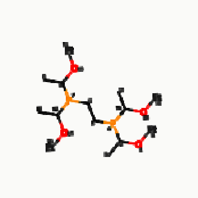 CCOC(C)P(CCP(C(C)OCC)C(C)OCC)C(C)OCC